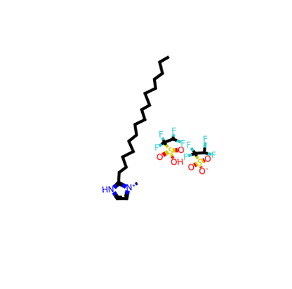 CCCCCCCCCCCCCCCCc1[nH]cc[n+]1C.O=S(=O)(O)C(F)(F)C(F)F.O=S(=O)([O-])C(F)(F)C(F)F